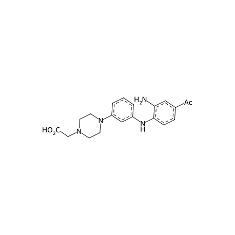 CC(=O)c1ccc(Nc2cccc(N3CCN(CC(=O)O)CC3)c2)c(N)c1